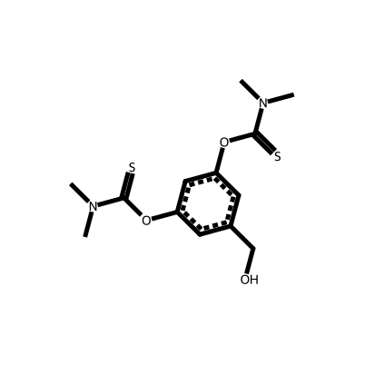 CN(C)C(=S)Oc1cc(CO)cc(OC(=S)N(C)C)c1